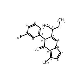 CCC(O)c1cn2ccc(Cl)c2c(=O)n1-c1cccc(F)c1